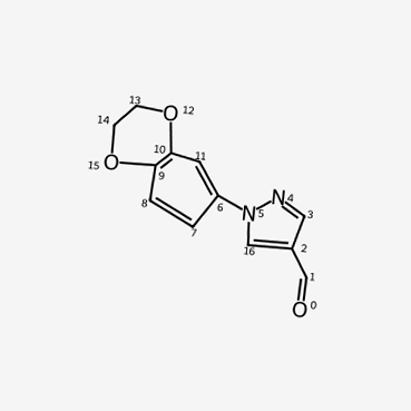 O=Cc1cnn(-c2ccc3c(c2)OCCO3)c1